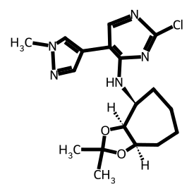 Cn1cc(-c2cnc(Cl)nc2N[C@H]2CCCC[C@H]3OC(C)(C)O[C@@H]23)cn1